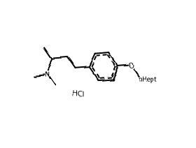 CCCCCCCOc1ccc(CCC(C)N(C)C)cc1.Cl